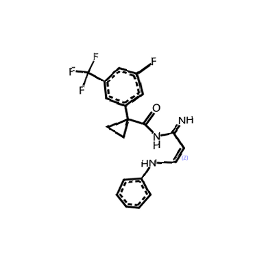 N=C(/C=C\Nc1ccccc1)NC(=O)C1(c2cc(F)cc(C(F)(F)F)c2)CC1